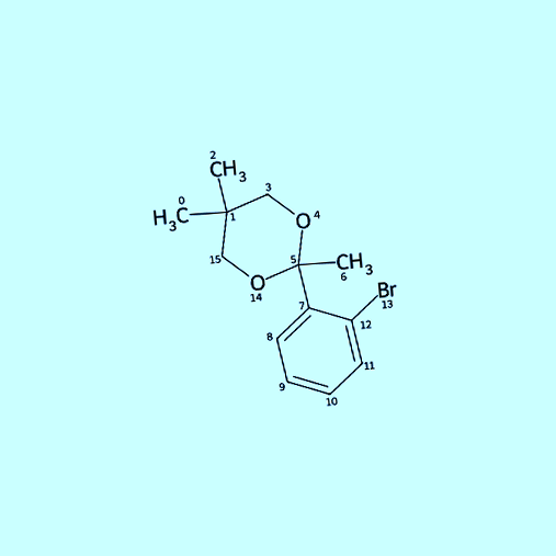 CC1(C)COC(C)(c2ccccc2Br)OC1